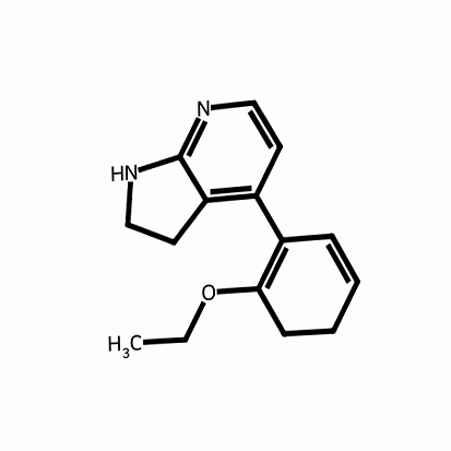 CCOC1=C(c2ccnc3c2CCN3)C=CCC1